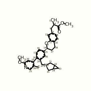 COC(=O)C(C)Cc1ccc2c(c1)O[C@H](c1ccc(-c3cc(OC)ncc3F)c(CN3CC4CC4C3)c1)CC2